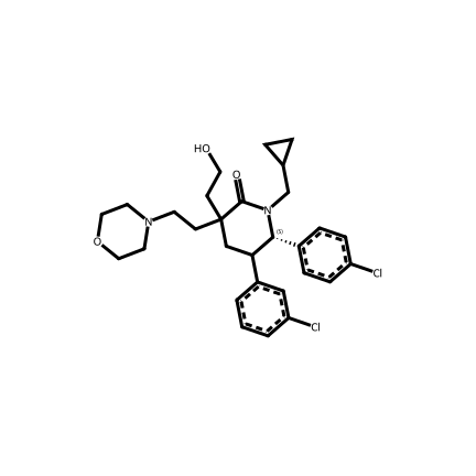 O=C1N(CC2CC2)[C@H](c2ccc(Cl)cc2)C(c2cccc(Cl)c2)CC1(CCO)CCN1CCOCC1